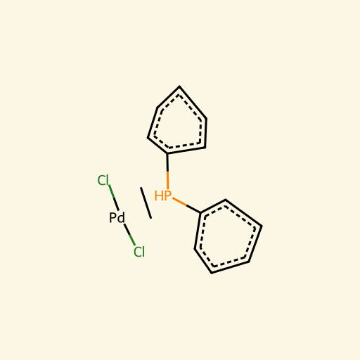 CC.[Cl][Pd][Cl].c1ccc(Pc2ccccc2)cc1